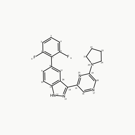 Fc1cccc(F)c1-c1ccc2[nH]nc(-c3cncc(N4CCCC4)n3)c2c1